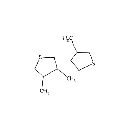 CC1CCSC1.CC1CSCC1C